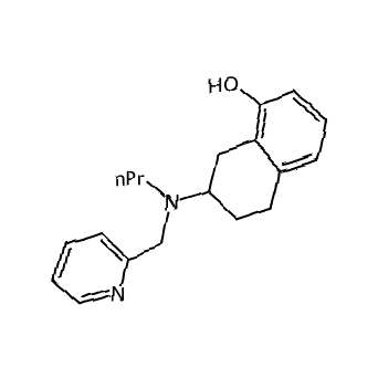 CCCN(Cc1ccccn1)C1CCc2cccc(O)c2C1